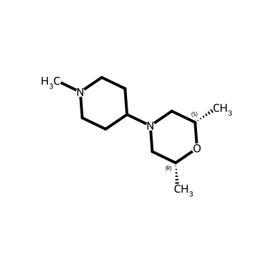 C[C@@H]1CN(C2CCN(C)CC2)C[C@H](C)O1